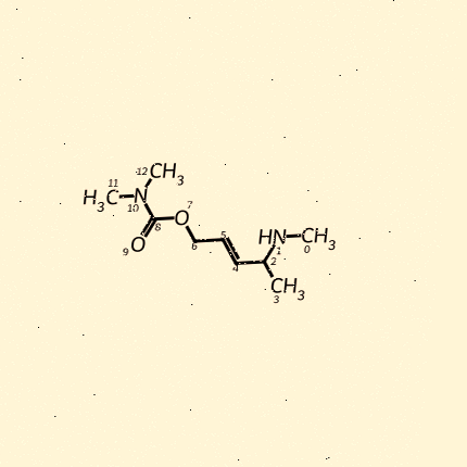 CNC(C)/C=C/COC(=O)N(C)C